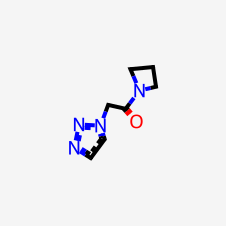 O=C(Cn1ccnn1)N1CCC1